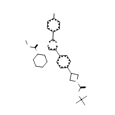 COC(=O)[C@@H]1CCCC[C@H]1c1nc(-c2ccc(F)cc2)sc1-c1ccc(C2CN(C(=O)OC(C)(C)C)C2)cc1